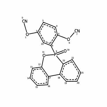 N#COc1ccc(OC#N)c(P2(=O)Oc3ccccc3-c3ccccc32)c1